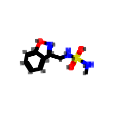 CNS(=O)(=O)NCc1noc2ccccc12